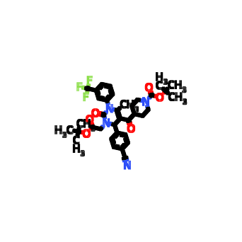 CC1=C(C(=O)C2CCN(C(=O)OC(C)(C)C)CC2)C(c2ccc(C#N)cc2)N(CC(=O)OC(C)(C)C)C(=O)N1c1cccc(C(F)(F)F)c1